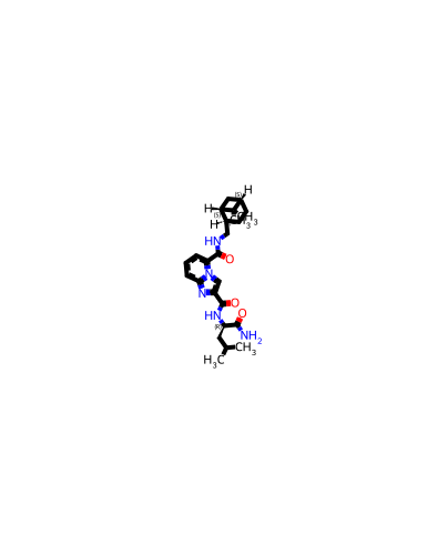 CC(C)C[C@@H](NC(=O)c1cn2c(C(=O)NC[C@@H]3CC[C@H]4C[C@@H]3C4(C)C)cccc2n1)C(N)=O